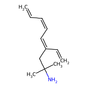 C=C/C=C\C=C(/C=C)CC(C)(C)N